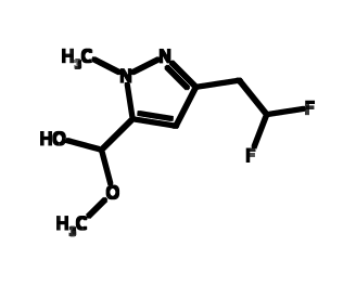 COC(O)c1cc(CC(F)F)nn1C